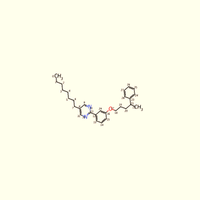 CCCCCCCCc1cnc(-c2cccc(OCCCC(C)c3ccccc3)c2)nc1